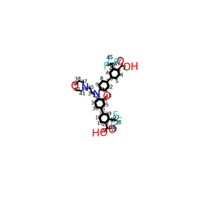 O=C(O)c1ccc(-c2ccc3c(c2)Oc2cc(-c4ccc(C(=O)O)c(C(F)(F)F)c4)ccc2N3CCN2CCOCC2)cc1C(F)(F)F